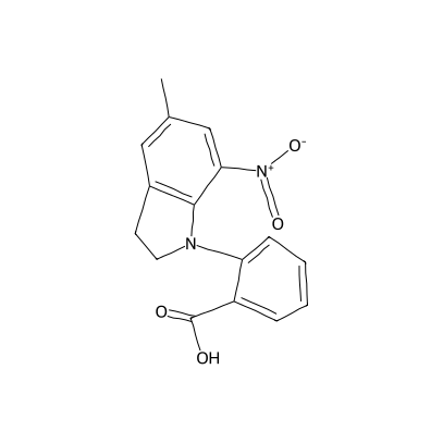 Cc1cc2c(c([N+](=O)[O-])c1)N(c1ccccc1C(=O)O)CC2